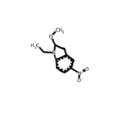 CCN1c2ccc([N+](=O)[O-])cc2CC1OC